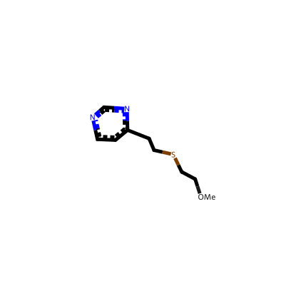 COCCSCCc1ccncn1